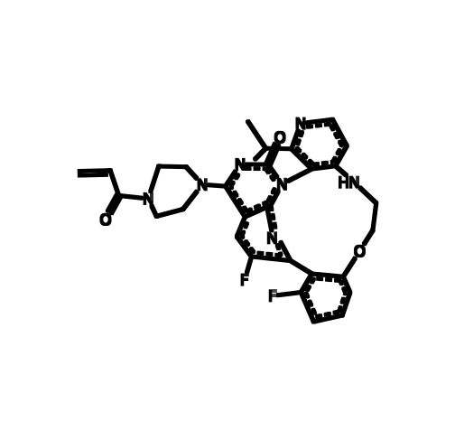 C=CC(=O)N1CCN(c2nc(=O)n3c4nc(c(F)cc24)-c2c(F)cccc2OCCNc2ccnc(C(C)C)c2-3)CC1